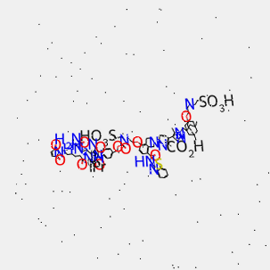 Cc1c(-c2ccc(N3CCc4c(OCCN(CCS(=O)(=O)O)C(=O)OCc5ccc(N(C(=O)[C@@H](NC(=O)CCCCCN6C(=O)C=CC6=O)C(C)C)[C@@H](CCCNC(N)=O)C(N)=O)cc5)ccc(C(=O)Nc5nc6ccccc6s5)c4C3)nc2C(=O)O)cnn1CC12CC3(C)CC(C)(C1)CC(OCCN(C)CCS(=O)(=O)O)(C3)C2